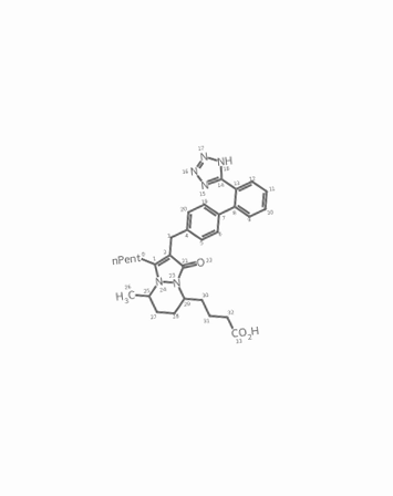 CCCCCc1c(Cc2ccc(-c3ccccc3-c3nnn[nH]3)cc2)c(=O)n2n1C(C)CCC2CCCC(=O)O